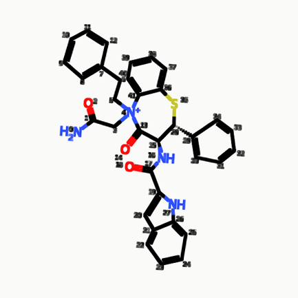 NC(=O)C[N+]1(CCc2ccccc2)C(=O)[C@H](NC(=O)c2cc3ccccc3[nH]2)[C@@H](c2ccccc2)Sc2ccccc21